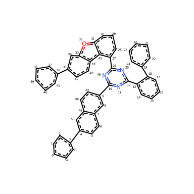 c1ccc(-c2ccc3cc(-c4nc(-c5ccccc5-c5ccccc5)nc(-c5cccc6oc7cc(-c8ccccc8)ccc7c56)n4)ccc3c2)cc1